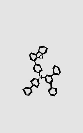 C1=CC2Oc3c(-c4ccc(N(c5ccc(-c6ccccc6)cc5)c5cc(-c6ccccc6)cc(-c6ccccc6)c5)cc4)cccc3C2C=C1